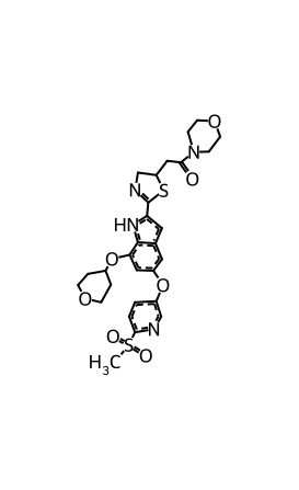 CS(=O)(=O)c1ccc(Oc2cc(OC3CCOCC3)c3[nH]c(C4=NCC(CC(=O)N5CCOCC5)S4)cc3c2)cn1